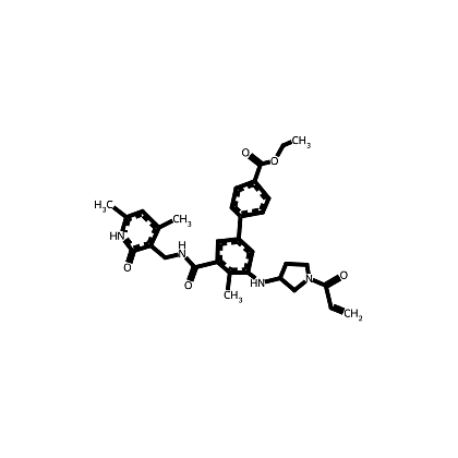 C=CC(=O)N1CCC(Nc2cc(-c3ccc(C(=O)OCC)cc3)cc(C(=O)NCc3c(C)cc(C)[nH]c3=O)c2C)C1